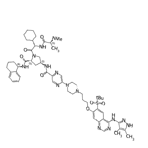 CN[C@@H](C)C(=O)NC(C(=O)N1C[C@@H](NC(=O)c2cnc(N3CCN(CCCOc4cc5ncnc(Nc6n[nH]c(C)c6C)c5cc4S(=O)(=O)C(C)(C)C)CC3)cn2)C[C@H]1C(=O)N[C@@H]1CCCc2ccccc21)C1CCCCC1